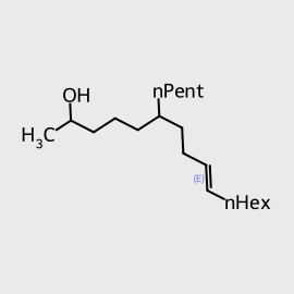 CCCCCC/C=C/CCC(CCCCC)CCCC(C)O